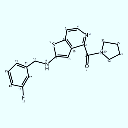 O=C(c1nccc2sc(NCc3cccc(F)c3)cc12)N1CCCC1